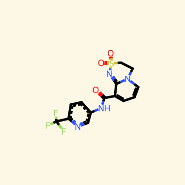 O=C(Nc1ccc(C(F)(F)F)nc1)C1=CC=CN2CCS(=O)(=O)N=C12